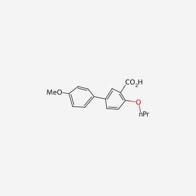 CCCOc1ccc(-c2ccc(OC)cc2)cc1C(=O)O